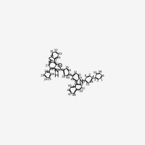 c1ccc(-c2ccc(-n3c4ccc(-c5ccc(C6Nc7c(-c8ccccc8)cc8sc9ccccc9c8c7O6)cc5)cc4c4c5ccccc5ccc43)cc2)cc1